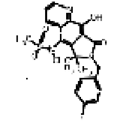 CN(c1c2c(c(O)c3ncccc13)C(=O)N(Cc1ccc(F)cc1)C2(C)C)S(C)(=O)=O